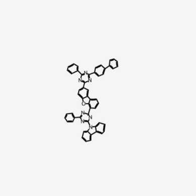 c1ccc(-c2ccc(-c3nc(-c4ccccc4)nc(-c4ccc5oc6c(-c7nc(-c8ccccc8)nc(-n8c9ccccc9c9ccccc98)n7)cccc6c5c4)n3)cc2)cc1